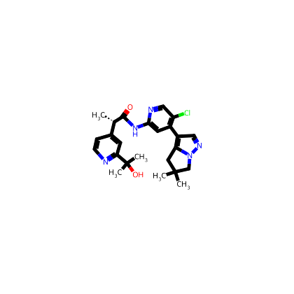 C[C@H](C(=O)Nc1cc(-c2cnn3c2CC(C)(C)C3)c(Cl)cn1)c1ccnc(C(C)(C)O)c1